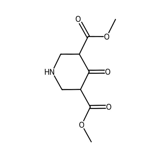 COC(=O)C1CNCC(C(=O)OC)C1=O